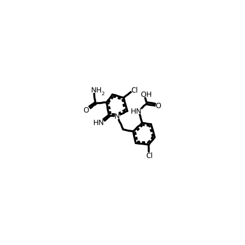 N=c1c(C(N)=O)cc(Cl)cn1Cc1cc(Cl)ccc1NC(=O)O